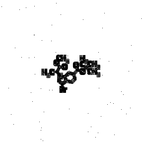 COC(=O)C(C)n1cc(Br)c2ccc(C(=O)OC(C)(C)C)cc21